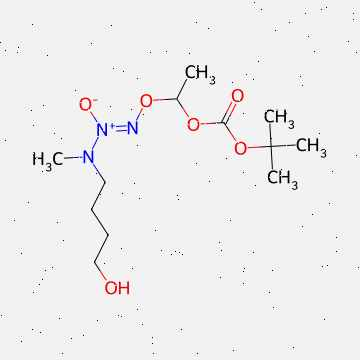 CC(O/N=[N+](\[O-])N(C)CCCCO)OC(=O)OC(C)(C)C